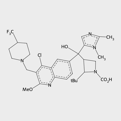 COc1nc2ccc(C(O)(c3cnc(C)n3C)C3CN(C(=O)O)C3C(C)(C)C)cc2c(Cl)c1CN1CCC(C(F)(F)F)CC1